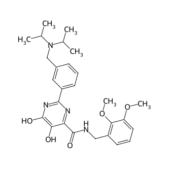 COc1cccc(CNC(=O)c2nc(-c3cccc(CN(C(C)C)C(C)C)c3)nc(O)c2O)c1OC